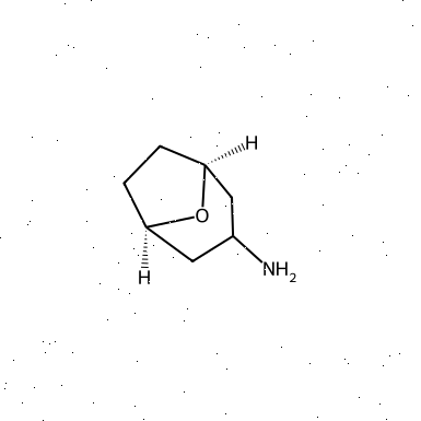 NC1C[C@H]2CC[C@@H](C1)O2